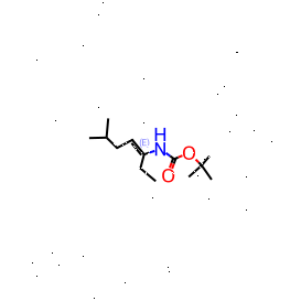 CC/C(=C\CC(C)C)NC(=O)OC(C)(C)C